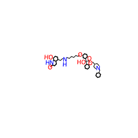 O=C(OCC1CCN(Cc2ccccc2)CC1)C(O)(c1ccccc1)c1cccc(OCCCCCCNCCc2ccc(O)c3[nH]c(=O)ccc23)c1